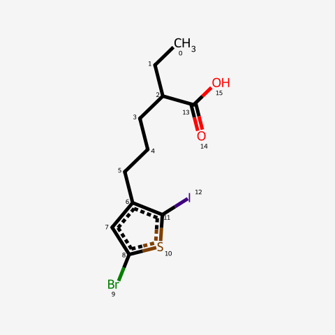 CCC(CCCc1cc(Br)sc1I)C(=O)O